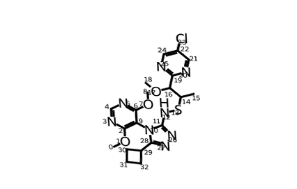 COc1ncnc(OC)c1-n1c(NSC(C)C(OC)c2ncc(Cl)cn2)nnc1C1CCC1